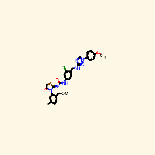 COCc1ccc(C)cc1N1C(=O)CSC1=NC(=O)Nc1ccc(CNc2ncn(-c3ccc(OC(F)(F)F)cc3)n2)c(Cl)c1